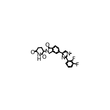 Cn1cc(-c2ccc3c(c2)CN(C2CCC(=O)NC2=O)C3=O)nc1-c1cccc(F)c1F